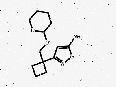 Nc1cc(C2(COC3CCCCO3)CCC2)no1